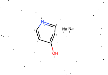 Oc1ccncc1.[Na].[Na]